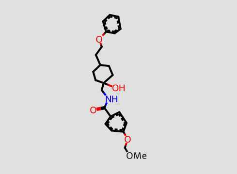 COCOc1ccc(C(=O)NCC2(O)CCC(CCOc3ccccc3)CC2)cc1